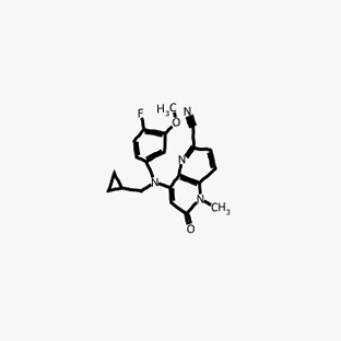 COc1cc(N(CC2CC2)c2cc(=O)n(C)c3ccc(C#N)nc23)ccc1F